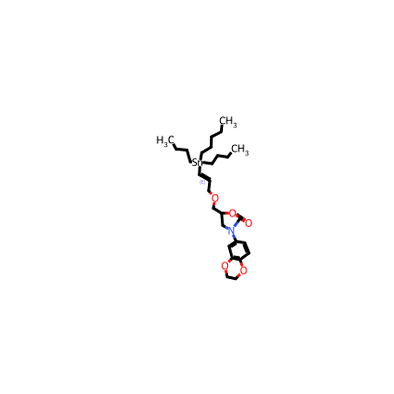 CCCC[CH2][Sn](/[CH]=C/COCC1CN(c2ccc3c(c2)OCCO3)C(=O)O1)([CH2]CCC)[CH2]CCC